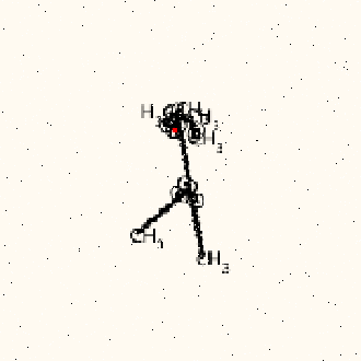 CCCCCCCCCCCCCCCC(=O)OCC(COC(=O)CCCCCCCCCCCCCCC)OC(=O)CCCCCCCCCCCCCC(=O)Oc1c(C/C=C(\C)CCC(=O)OC)c(OC)c(C)c2c1C(=O)OC2